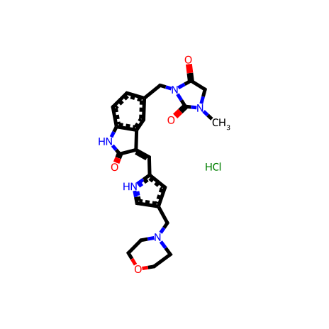 CN1CC(=O)N(Cc2ccc3c(c2)/C(=C/c2cc(CN4CCOCC4)c[nH]2)C(=O)N3)C1=O.Cl